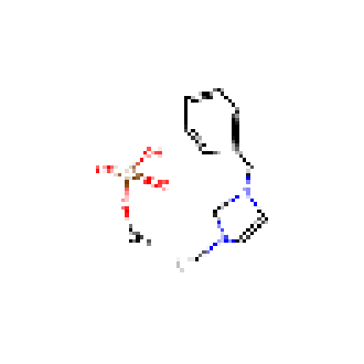 CN1C=CN(Cc2ccccc2)C1.COS(=O)(=O)O